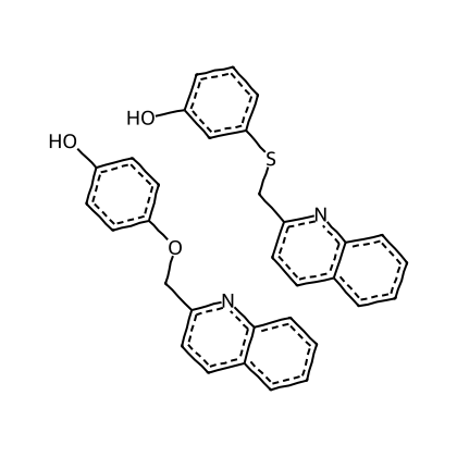 Oc1ccc(OCc2ccc3ccccc3n2)cc1.Oc1cccc(SCc2ccc3ccccc3n2)c1